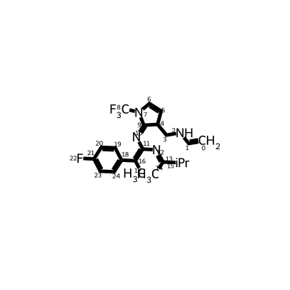 C=CNCC1C=CN(C(F)(F)F)/C1=N/C(/N=C(\C)C(C)C)=C(/C)c1ccc(F)cc1